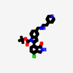 CC(C)(C)OC(=O)n1c(-c2ccc(Cl)c3c2C(=O)NC3)cc2cc(CNCCc3ccncc3)ccc21